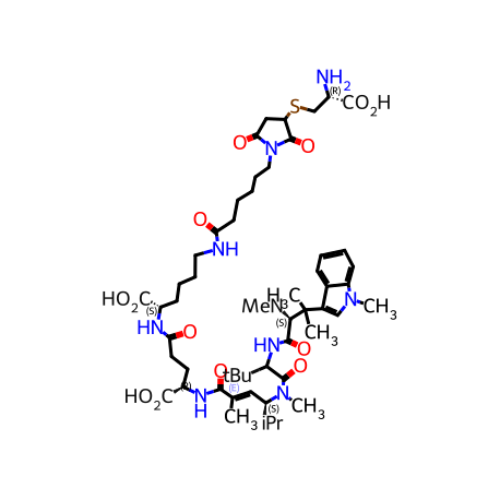 CN[C@H](C(=O)NC(C(=O)N(C)[C@H](/C=C(\C)C(=O)N[C@H](CCC(=O)N[C@@H](CCCCNC(=O)CCCCCN1C(=O)CC(SC[C@H](N)C(=O)O)C1=O)C(=O)O)C(=O)O)C(C)C)C(C)(C)C)C(C)(C)c1cn(C)c2ccccc12